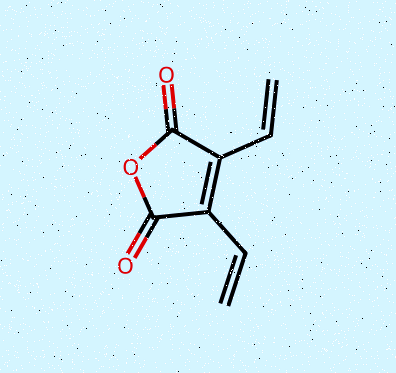 C=CC1=C(C=C)C(=O)OC1=O